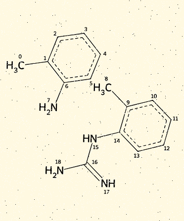 Cc1ccccc1N.Cc1ccccc1NC(=N)N